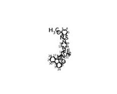 COc1cccc2sc(N3CCN(CCCCC4(C(=O)NCC(F)(F)F)c5ccccc5-c5ccccc54)CC3)nc12